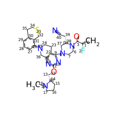 C=C(F)C(=O)N1CCN(c2nc(OC[C@@H]3CCCN3C)nc3c2CCN(c2cccc4c2CSCC4)C3)C[C@@H]1CC#N